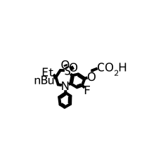 CCCCC1(CC)CN(c2ccccc2)c2cc(F)c(OCC(=O)O)cc2S(=O)(=O)C1